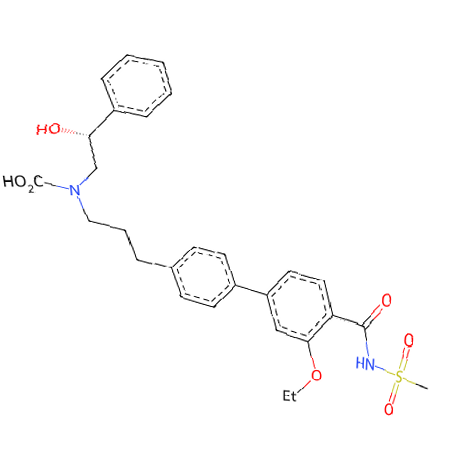 CCOc1cc(-c2ccc(CCCN(C[C@H](O)c3ccccc3)C(=O)O)cc2)ccc1C(=O)NS(C)(=O)=O